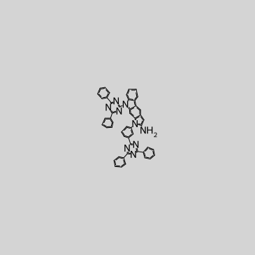 Nc1cc2cc3c4ccccc4n(-c4nc(-c5ccccc5)nc(-c5ccccc5)n4)c3cc2n1-c1cccc(-c2nc(-c3ccccc3)nc(-c3ccccc3)n2)c1